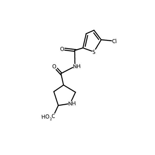 O=C(NC(=O)C1CNC(C(=O)O)C1)c1ccc(Cl)s1